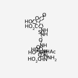 CC(=O)N[C@H]1[C@H]([C@H](OC(=O)NCCOCCNC(=S)Nc2ccc(-c3c4ccc(=O)cc-4oc4cc(O)ccc34)c(C(=O)O)c2)[C@H](O)CO)OC(C(=O)O)=C[C@@H]1NC(=N)N